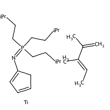 C=C(C)C(C)=CC.CC(C)CCP(CCC(C)C)(CCC(C)C)=NC1=CC=CC1.[Ti]